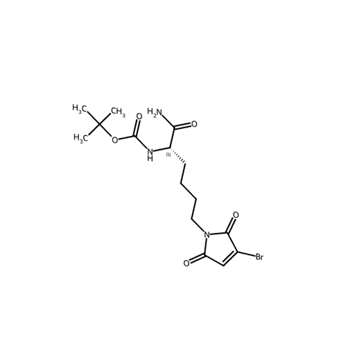 CC(C)(C)OC(=O)N[C@@H](CCCCN1C(=O)C=C(Br)C1=O)C(N)=O